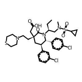 CC[C@@H](CN(C)S(=O)(=O)C1CC1)N1C(=O)[C@@](CCN2CCSCC2)(CC(=O)O)C[C@H](c2cccc(Cl)c2)[C@H]1c1ccc(Cl)cc1